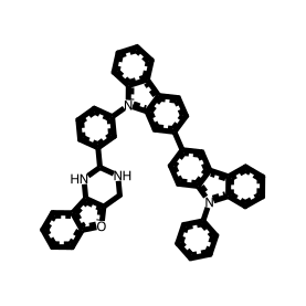 c1ccc(-n2c3ccccc3c3cc(-c4ccc5c6ccccc6n(-c6cccc(C7NCc8oc9ccccc9c8N7)c6)c5c4)ccc32)cc1